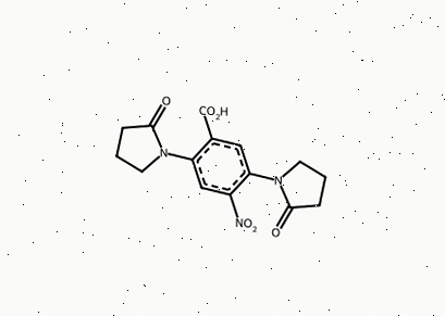 O=C(O)c1cc(N2CCCC2=O)c([N+](=O)[O-])cc1N1CCCC1=O